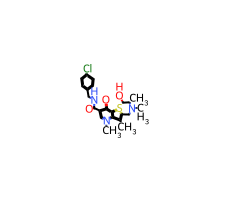 Cc1c(CN(C)C(C)CO)sc2c(=O)c(C(=O)NCc3ccc(Cl)cc3)cn(C)c12